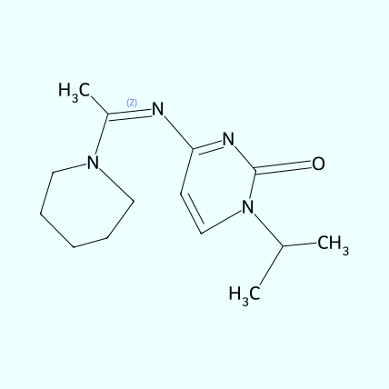 C/C(=N/c1ccn(C(C)C)c(=O)n1)N1CCCCC1